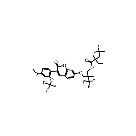 CCC(C)(CC(C)(C)I)C(=O)OCC(C)(COc1ccc2cc(-c3ccc(OC)cc3OC(F)(F)F)c(=O)oc2c1)C(F)(F)F